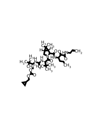 C=CCNC(=O)C(=O)C(CCC)NC(=O)C1[C@@H]2[C@H](CN1C(=O)[C@@H](NC(=O)N[C@H](COC(=O)OCC1CC1)C(C)(C)C)C(C)(C)C)C2(C)C